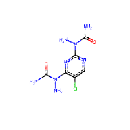 NC(=O)N(N)c1ncc(Cl)c(N(N)C(N)=O)n1